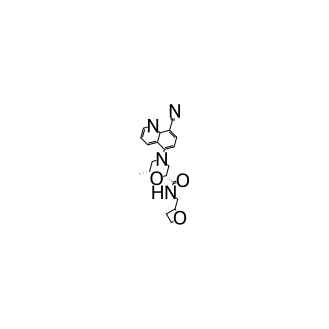 C[C@@H]1CN(c2ccc(C#N)c3ncccc23)C[C@H](C(=O)NCC2CCO2)O1